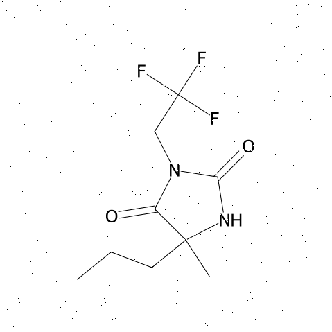 CCCC1(C)NC(=O)N(CC(F)(F)F)C1=O